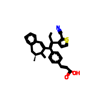 CC/C(=C(\C1=Cc2ccccc2C[C@@H](C)C1C)c1ccc(/C=C/C(=O)O)cc1)c1ccsc1C#N